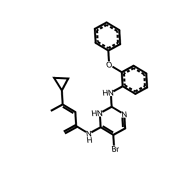 C=C(/C=C(\C)C1CC1)NC1=C(Br)C=NC(Nc2ccccc2Oc2ccccc2)N1